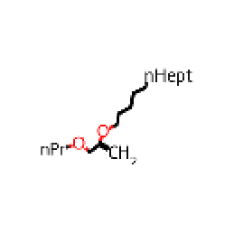 C=C(COCCC)OCCCCCCCCCCCC